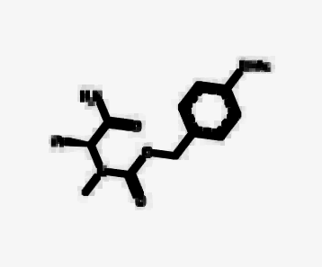 CC(=O)Nc1ccc(COC(=O)N(C)[C@H](C(N)=O)C(C)C)cc1